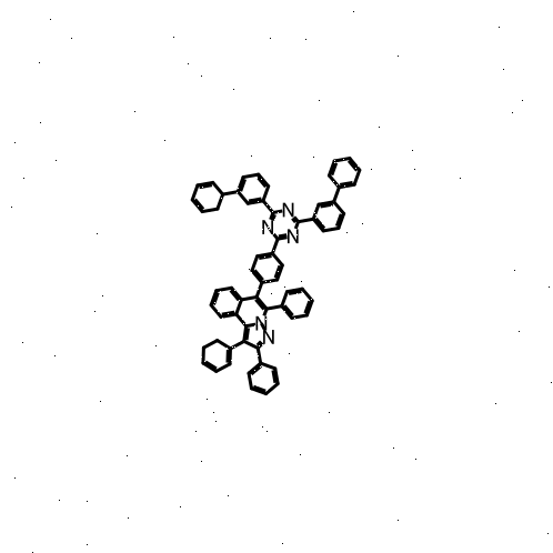 C1=CCCC(c2c(-c3ccccc3)nn3c(-c4ccccc4)c(-c4ccc(-c5nc(-c6cccc(-c7ccccc7)c6)nc(-c6cccc(C7C=CC=CC7)c6)n5)cc4)c4ccccc4c23)=C1